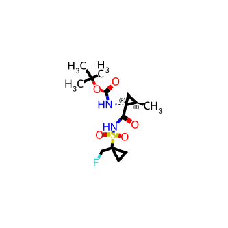 C[C@@H]1C[C@]1(NC(=O)OC(C)(C)C)C(=O)NS(=O)(=O)C1(CF)CC1